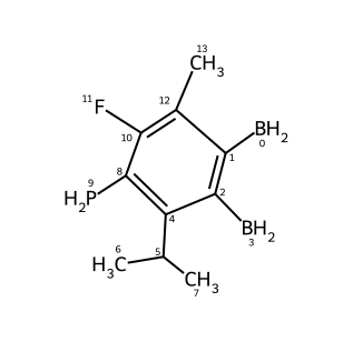 Bc1c(B)c(C(C)C)c(P)c(F)c1C